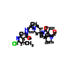 Cc1cc(Cl)nc(C)c1C(=O)NCC[C@@H](C)N1CCC(N(Cc2cccnc2)C(=O)C2(C)CCOCC2)CC1